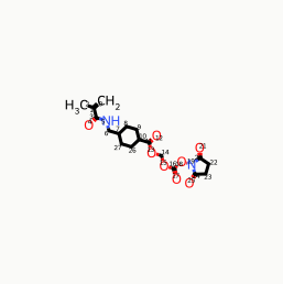 C=C(C)C(=O)NCC1CCC(C(=O)OCOC(=O)ON2C(=O)CCC2=O)CC1